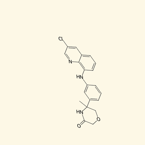 CC1(c2cccc(Nc3cccc4cc(Cl)cnc34)c2)COCC(=O)N1